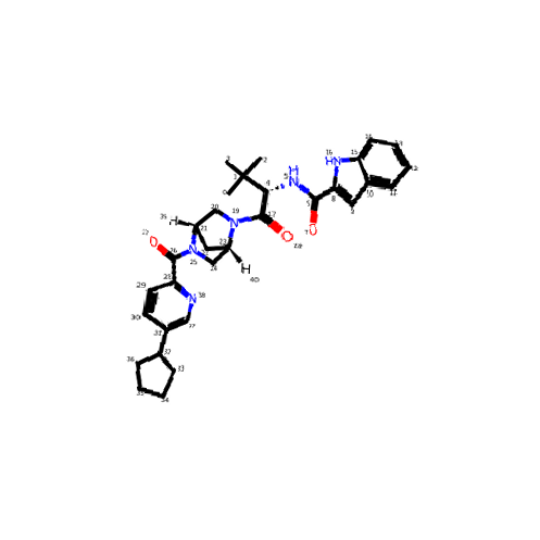 CC(C)(C)[C@H](NC(=O)c1cc2ccccc2[nH]1)C(=O)N1C[C@@H]2C[C@H]1CN2C(=O)c1ccc(C2CCCC2)cn1